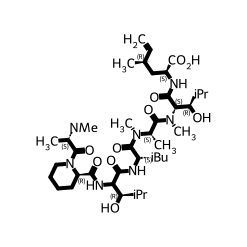 C=C[C@H](C)C[C@H](NC(=O)[C@H]([C@H](O)C(C)C)N(C)C(=O)[C@H](C)N(C)C(=O)C(NC(=O)C(NC(=O)[C@H]1CCCCN1C(=O)[C@H](C)NC)[C@H](O)C(C)C)[C@@H](C)CC)C(=O)O